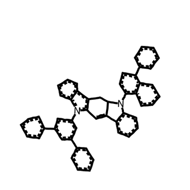 C1=C2c3ccccc3N(c3ccc(-c4ccccc4)c4ccccc34)C2Cc2c1n(-c1cc(-c3ccccc3)cc(-c3ccccc3)c1)c1ccccc21